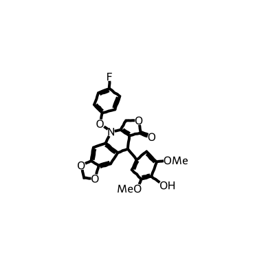 COc1cc(C2C3=C(COC3=O)N(Oc3ccc(F)cc3)c3cc4c(cc32)OCO4)cc(OC)c1O